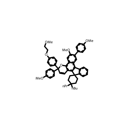 CCCCC1(CCC)CCC2(CC1)c1ccccc1-c1c2c2c(c3cc(OC)c(-c4ccc(OC)cc4)cc13)OC(c1ccc(OC)cc1)(c1ccc(OCCOC)cc1)C=C2